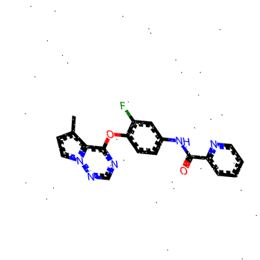 Cc1ccn2ncnc(Oc3ccc(NC(=O)c4ccccn4)cc3F)c12